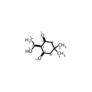 CC(O)=C1C(=O)CC(C)(C)CC1=O